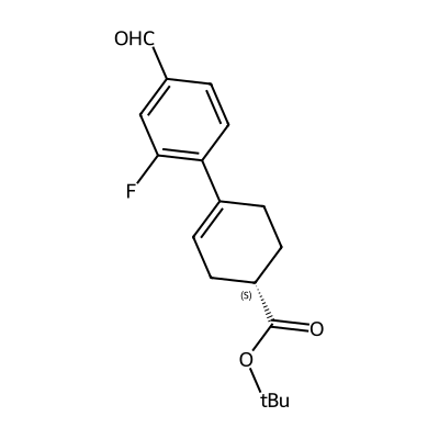 CC(C)(C)OC(=O)[C@@H]1CC=C(c2ccc(C=O)cc2F)CC1